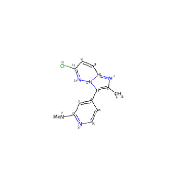 CNc1cc(-c2c(C)nc3ccc(Cl)nn23)ccn1